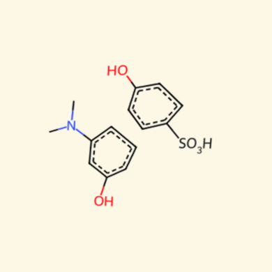 CN(C)c1cccc(O)c1.O=S(=O)(O)c1ccc(O)cc1